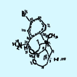 CN1C[C@H]2CO[C@@H](C1)C2Oc1ccc(Br)cc1C(N)=O